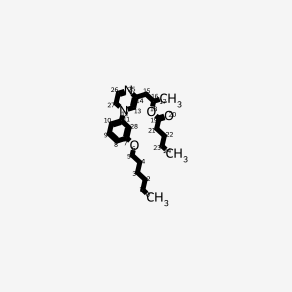 CCCCCCOc1cccc(N2C=C(CC(C)OC(=O)CCCC)N=CC2)c1